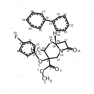 COC(=O)C1(Oc2ccc(F)cc2)CN2C(=O)C[C@H]2SC1C.c1ccc(-c2ccccc2)cc1